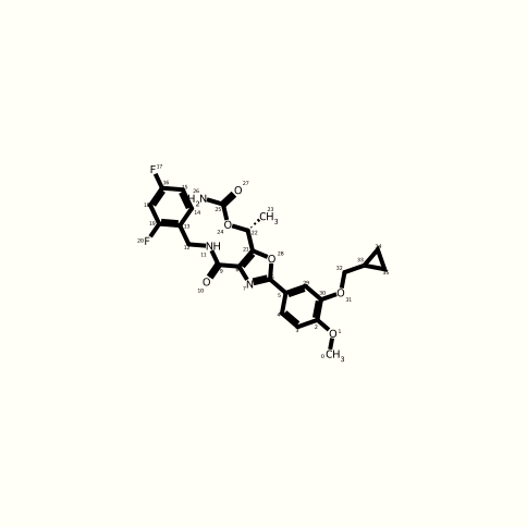 COc1ccc(-c2nc(C(=O)NCc3ccc(F)cc3F)c([C@@H](C)OC(N)=O)o2)cc1OCC1CC1